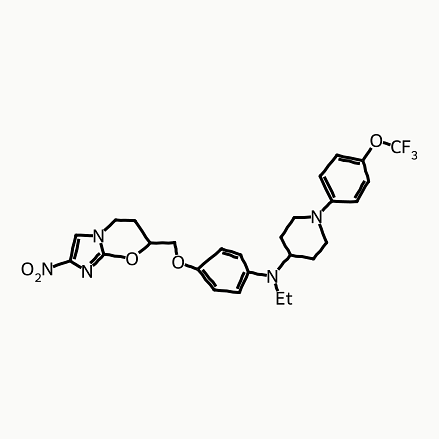 CCN(c1ccc(OCC2CCn3cc([N+](=O)[O-])nc3O2)cc1)C1CCN(c2ccc(OC(F)(F)F)cc2)CC1